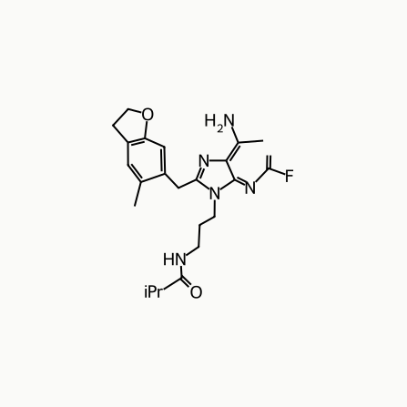 C=C(F)/N=C1\C(=C(/C)N)N=C(Cc2cc3c(cc2C)CCO3)N1CCCNC(=O)C(C)C